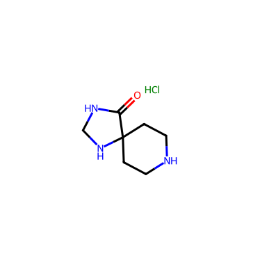 Cl.O=C1NCNC12CCNCC2